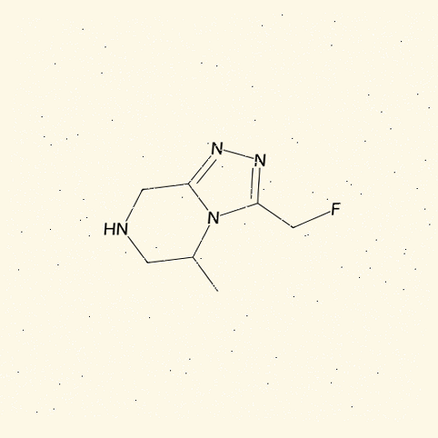 CC1CNCc2nnc(CF)n21